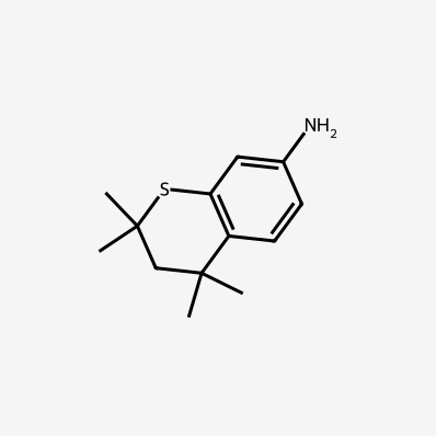 CC1(C)CC(C)(C)c2ccc(N)cc2S1